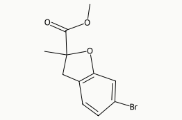 COC(=O)C1(C)Cc2ccc(Br)cc2O1